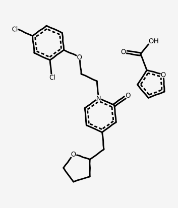 O=C(O)c1ccco1.O=c1cc(CC2CCCO2)ccn1CCOc1ccc(Cl)cc1Cl